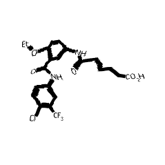 CCOc1ccc(NC(=O)CCCCC(=O)O)cc1C(=O)Nc1ccc(Cl)c(C(F)(F)F)c1